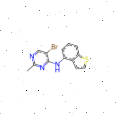 Cc1ncc(Br)c(Nc2cccc3sccc23)n1